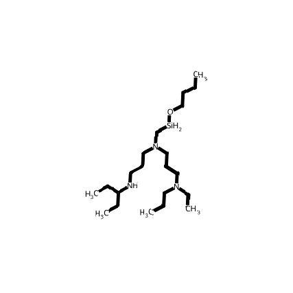 CCCCO[SiH2]CN(CCCNC(CC)CC)CCCN(CC)CCC